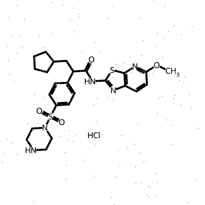 COc1ccc2nc(NC(=O)C(CC3CCCC3)c3ccc(S(=O)(=O)N4CCNCC4)cc3)sc2n1.Cl